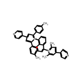 Cc1ccc(-c2cc(-c3ccncc3)cc(-c3ccc(C)cc3)[n+]2-c2cccc3c(-[n+]4c(C)cc(-c5ccncc5)cc4C)cccc23)cc1